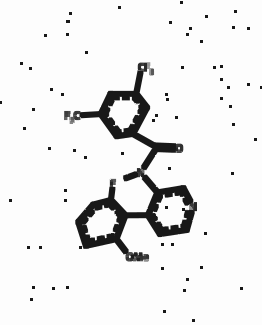 COc1cccc(F)c1-c1ccncc1N(C)C(=O)c1cc(C(F)(F)F)cc(C(F)(F)F)c1